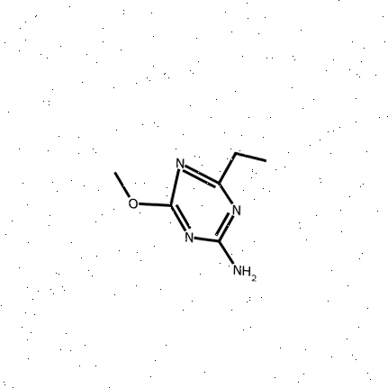 CCc1nc(N)nc(OC)n1